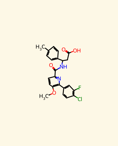 COc1ccc(C(=O)NC(CC(=O)O)c2ccc(C)cc2)nc1-c1ccc(Cl)c(F)c1